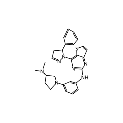 CN(C)[C@@H]1CCN(c2cccc(Nc3nc(N4N=CCC4c4ccccc4)c4sccc4n3)c2)C1